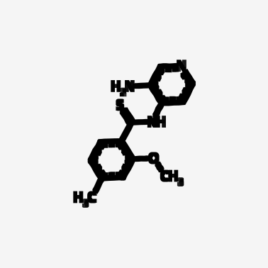 COc1cc(C)ccc1C(=S)Nc1ccncc1N